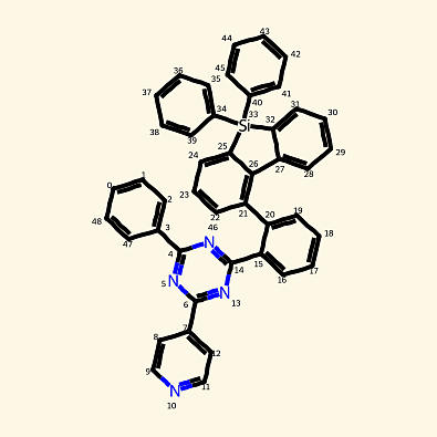 c1ccc(-c2nc(-c3ccncc3)nc(-c3ccccc3-c3cccc4c3-c3ccccc3[Si]4(c3ccccc3)c3ccccc3)n2)cc1